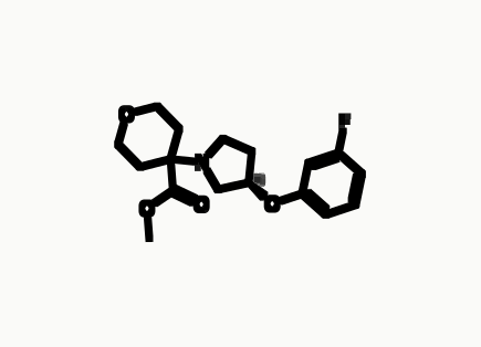 COC(=O)C1(N2CC[C@@H](Oc3cccc(F)c3)C2)CCOCC1